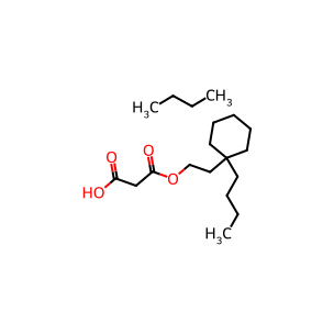 CCCC.CCCCC1(CCOC(=O)CC(=O)O)CCCCC1